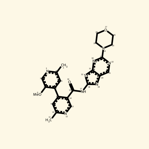 COc1cnc(C)cc1-c1cc(C)ncc1C(=O)Nc1nc2cnc(N3CCOCC3)nc2s1